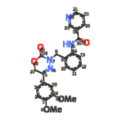 COc1ccc(C2=NN(Cc3ccccc3NC(=O)c3cccnc3)C(=O)OC2)cc1OC